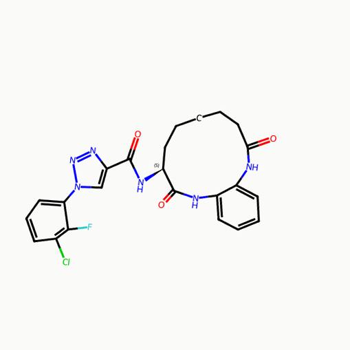 O=C1CCCCC[C@H](NC(=O)c2cn(-c3cccc(Cl)c3F)nn2)C(=O)Nc2ccccc2N1